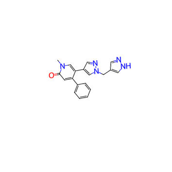 Cn1cc(-c2cnn(Cc3cn[nH]c3)c2)c(-c2ccccc2)cc1=O